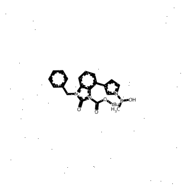 CB(O)n1ccc(-c2cccc3c2n(C(=O)OC(C)(C)C)c(=O)n3Cc2ccccc2)c1